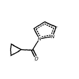 O=C(C1CC1)n1cc[c]n1